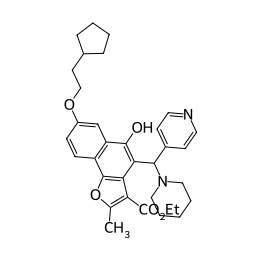 CCOC(=O)c1c(C)oc2c1c(C(c1ccncc1)N1CCCCC1)c(O)c1cc(OCCC3CCCC3)ccc12